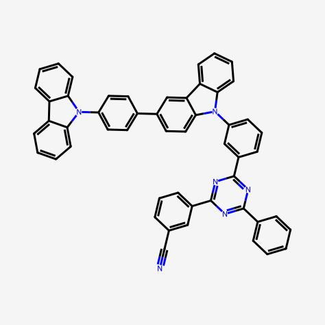 N#Cc1cccc(-c2nc(-c3ccccc3)nc(-c3cccc(-n4c5ccccc5c5cc(-c6ccc(-n7c8ccccc8c8ccccc87)cc6)ccc54)c3)n2)c1